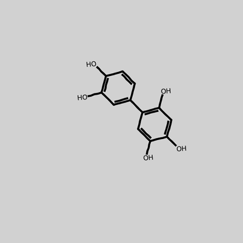 Oc1ccc(-c2cc(O)c(O)cc2O)cc1O